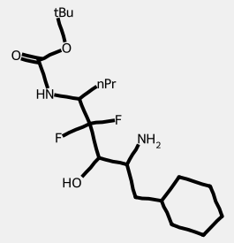 CCCC(NC(=O)OC(C)(C)C)C(F)(F)C(O)C(N)CC1CCCCC1